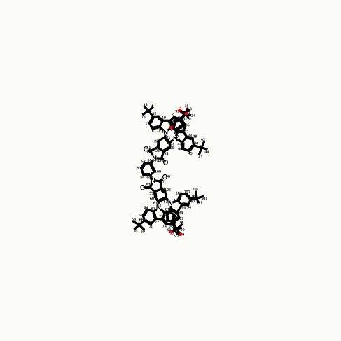 CC(C)(C)c1ccc2c(c1)c1cc(C(C)(C)C)ccc1n2-c1cc2c(cc1-n1c3ccc(C(C)(C)C)cc3c3cc(C(C)(C)C)ccc31)C(=O)N(c1cccc(N3C(=O)c4cc(-n5c6ccc(C(C)(C)C)cc6c6cc(C(C)(C)C)ccc65)c(-n5c6ccc(C(C)(C)C)cc6c6cc(C(C)(C)C)ccc65)cc4C3=O)c1)C2=O